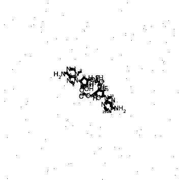 CN1C=NC(N)c2ncn([C@@H]3C[C@@H]4OP(=O)(S)O[C@H]5[C@@H](F)[C@H](n6cnc7c(N)ncnc76)O[C@@H]5COC(=O)O[C@@H]3[C@@H]4O)c21